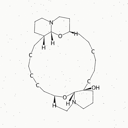 O[C@@]12CCCCCC[C@H]3CCN4CCC[C@@H](CCCCCC[C@H]5CCN(CCC1)[C@@H]2O5)[C@H]4O3